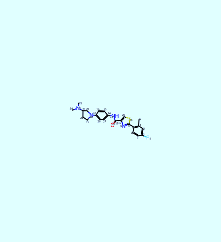 Cc1cc(F)ccc1-c1nc(C(=O)Nc2ccc(N3CCC(N(C)C)C3)cc2)cs1